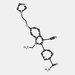 CCn1c(-c2ccc(C(N)=O)cc2)c(C#N)c2ccc(OCCn3ccnc3)cc21